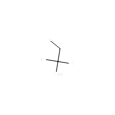 O=[C]C(Cl)(Cl)CCl